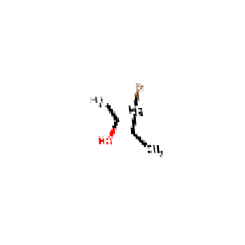 CCO.C[CH2][Mg][Br]